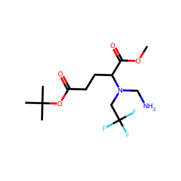 COC(=O)C(CCC(=O)OC(C)(C)C)N(CN)CC(F)(F)F